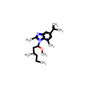 C=C(C)c1cc(C)c2c(c1)nc(C)n2C(C[C@H](C)CCC)OC